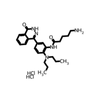 CCCN(CCC)c1ccc(-c2n[nH]c(=O)c3ccccc23)cc1NC(=O)CCCCN.Cl.Cl